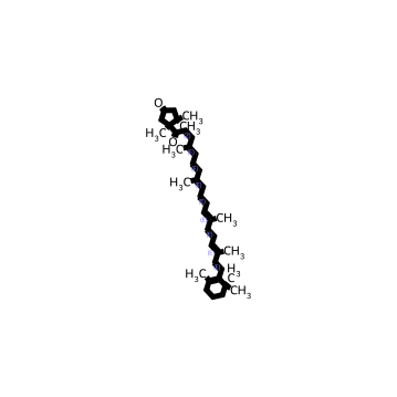 CC1=C(/C=C/C(C)=C/C=C/C(C)=C/C=C/C=C(C)/C=C/C=C(C)/C=C\C(=O)C2(C)CC(=O)CC2(C)C)C(C)(C)CCC1